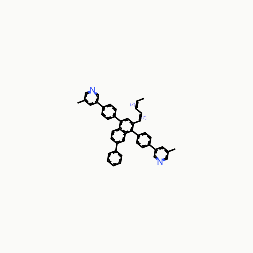 C/C=C\C=C/c1cc(-c2ccc(-c3cncc(C)c3)cc2)c2ccc(-c3ccccc3)cc2c1-c1ccc(-c2cncc(C)c2)cc1